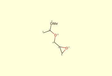 COC(C)OCC1CO1